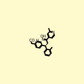 Cc1cc(C(C[C@H](c2ccc(CC(=O)O)cc2)c2ccccc2C)=NO)ccn1